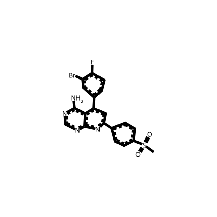 CS(=O)(=O)c1ccc(-c2cc(-c3ccc(F)c(Br)c3)c3c(N)ncnc3n2)cc1